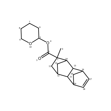 CC1(C(=O)OC2CCCCO2)CC2CC1C1C3C=CC(C3)C21